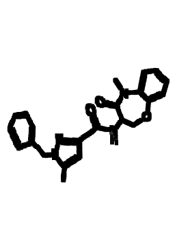 Cc1cc(C(=O)NC2COc3ccccc3N(C)C2=O)nn1Cc1ccccc1